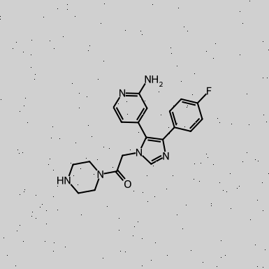 Nc1cc(-c2c(-c3ccc(F)cc3)ncn2CC(=O)N2CCNCC2)ccn1